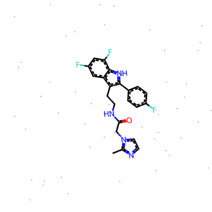 Cc1nccn1CC(=O)NCCc1c(-c2ccc(F)cc2)[nH]c2c(F)cc(F)cc12